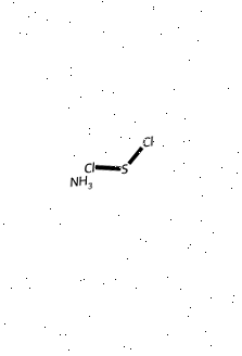 ClSCl.N